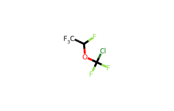 FC(OC(F)(F)Cl)C(F)(F)F